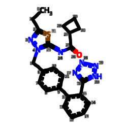 CCc1nn(Cc2ccc(-c3ccccc3-c3nnn[nH]3)cc2)c(=NC(=O)C2CCC2)s1